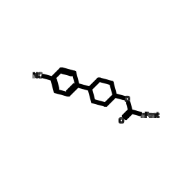 CCCCCC(=O)OC1CCC(c2ccc(C#N)cc2)CC1